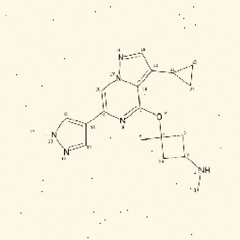 CNC1CC(C)(Oc2nc(-c3cnn(C)c3)cn3ncc(C4CC4)c23)C1